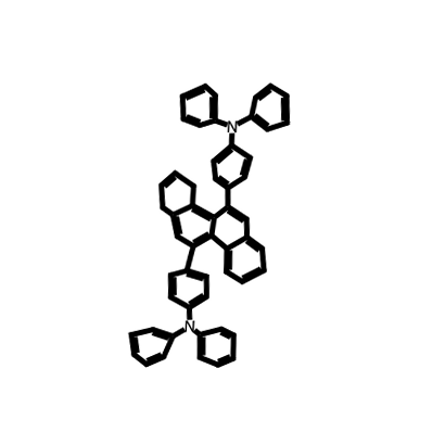 C1=CCc2c(cc(-c3ccc(N(c4ccccc4)c4ccccc4)cc3)c3c2c(-c2ccc(N(c4ccccc4)c4ccccc4)cc2)cc2ccccc23)C1